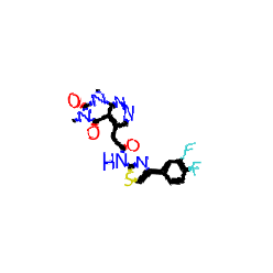 Cn1c(=O)c2c(CC(=O)Nc3nc(-c4ccc(F)c(F)c4)cs3)cnnc2n(C)c1=O